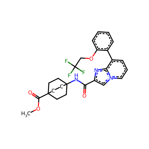 COC(=O)C12CCC(NC(=O)c3cn4cccc(-c5ccccc5OCC(F)(F)F)c4n3)(CC1)CC2